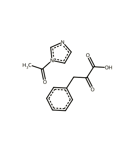 CC(=O)n1ccnc1.O=C(O)C(=O)Cc1ccccc1